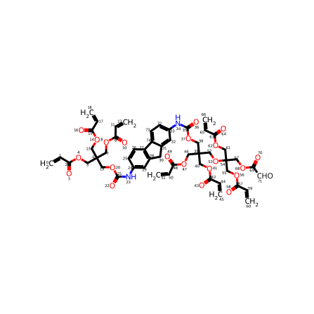 C=CC(=O)OCC(COC(=O)C=C)(COC(=O)C=C)COC(=O)Nc1ccc2c(c1)Cc1cc(NC(=O)OCC(COC(=O)C=C)(COC(=O)C=C)COC(COC(=O)C=C)(COC(=O)C=C)COC(=O)C=O)ccc1-2